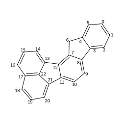 c1ccc2c(c1)Cc1c-2ccc2c1-c1cccc3cccc-2c13